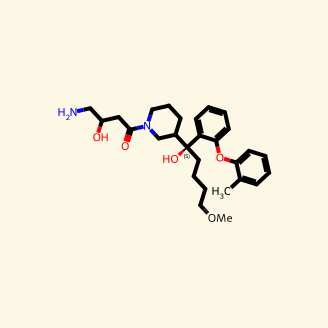 COCCCC[C@@](O)(c1ccccc1Oc1ccccc1C)C1CCCN(C(=O)CC(O)CN)C1